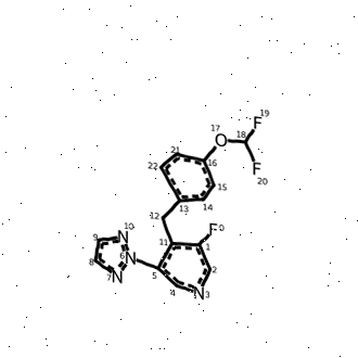 Fc1cncc(-n2nccn2)c1Cc1ccc(OC(F)F)cc1